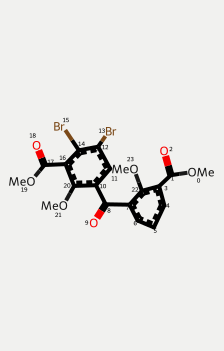 COC(=O)c1cccc(C(=O)c2cc(Br)c(Br)c(C(=O)OC)c2OC)c1OC